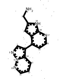 NCc1cc2c(-c3cnn4ncccc34)ccnc2[nH]1